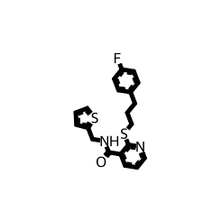 O=C(NCc1cccs1)c1cccnc1SCCCc1ccc(F)cc1